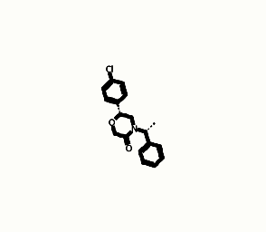 C[C@H](c1ccccc1)N1C[C@@H](c2ccc(Cl)cc2)OCC1=O